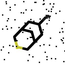 CC(C)C1CC2CSCC(C2)C1